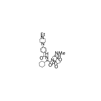 CCN1CCN(c2ccc(C(=O)N[C@H](C(=O)N3C[C@H](NC)[C@H]4OCC(=O)[C@H]43)C3CCCCC3)cc2)CC1